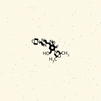 C[C@@H]1CN(c2c(CO)cc3c(-c4cnc(N5CCOCC5)cn4)noc3c2F)C[C@@H](C)O1